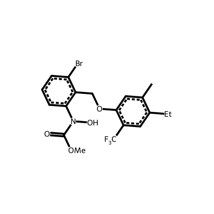 CCc1cc(C(F)(F)F)c(OCc2c(Br)cccc2N(O)C(=O)OC)cc1C